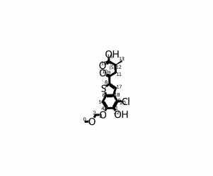 COCOc1cc2sc(C(=O)C[C@H](C)C(=O)O)cc2c(Cl)c1O